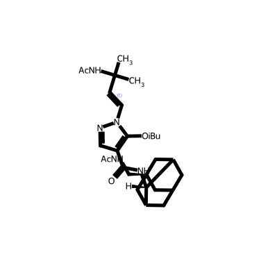 CC(=O)NC[C@]12CC3CC(C1)[C@@H](NC(=O)c1cnn(/C=C/C(C)(C)NC(C)=O)c1OCC(C)C)C(C3)C2